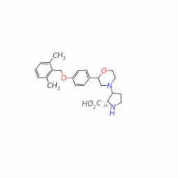 Cc1cccc(C)c1COc1ccc(C2CN(C3CCN[C@@H]3C(=O)O)CCO2)cc1